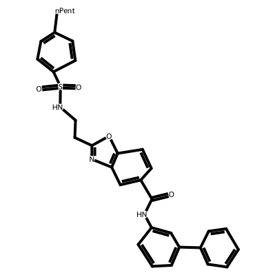 CCCCCc1ccc(S(=O)(=O)NCCc2nc3cc(C(=O)Nc4cccc(-c5ccccc5)c4)ccc3o2)cc1